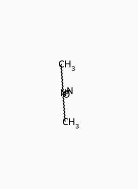 CCCCCCCCCCCCCCCCCCN(CCCCCCCCCCCCCCCCCC)C(=O)CC#N